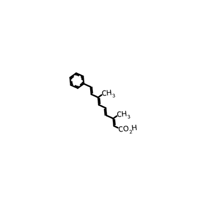 CC(/C=C/c1ccccc1)=C\C=C\C(C)=C\C(=O)O